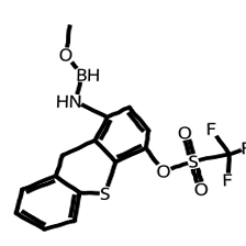 COBNc1ccc(OS(=O)(=O)C(F)(F)F)c2c1Cc1ccccc1S2